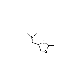 CC1OC(CN(C)C)CS1